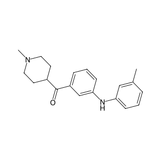 Cc1cccc(Nc2cccc(C(=O)C3CCN(C)CC3)c2)c1